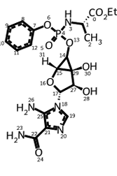 CCOC(=O)[C@H](C)NP(=O)(Oc1ccccc1)OC1[C@H]2O[C@@H](n3cnc(C(N)=O)c3N)[C@H](O)[C@@]12O